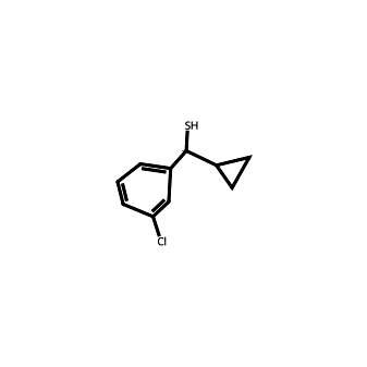 S[C](c1cccc(Cl)c1)C1CC1